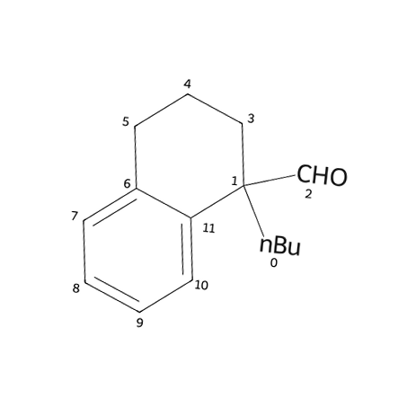 CCCCC1(C=O)CCCc2ccccc21